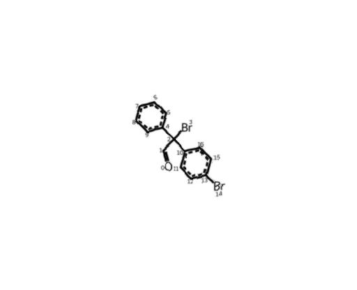 O=CC(Br)(c1ccccc1)c1ccc(Br)cc1